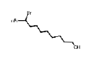 CCCC(Br)CCCCCCCCO